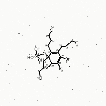 O[Si](O)(O)OC1(CCCCl)C(CCCCl)=C(CCCCl)C(Br)=C(Br)C1Br